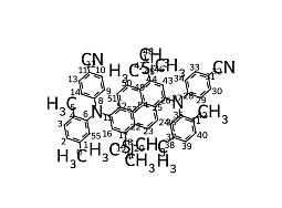 Cc1ccc(C)c(N(c2ccc(C#N)cc2)c2cc([Si](C)(C)C)c3ccc4c(N(c5ccc(C#N)cc5)c5cc(C)ccc5C)cc([Si](C)(C)C)c5ccc2c3c45)c1